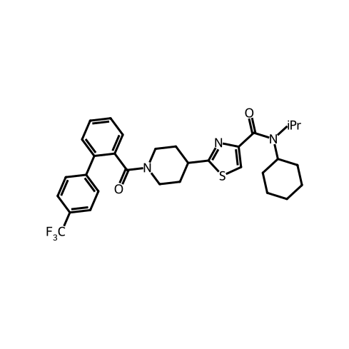 CC(C)N(C(=O)c1csc(C2CCN(C(=O)c3ccccc3-c3ccc(C(F)(F)F)cc3)CC2)n1)C1CCCCC1